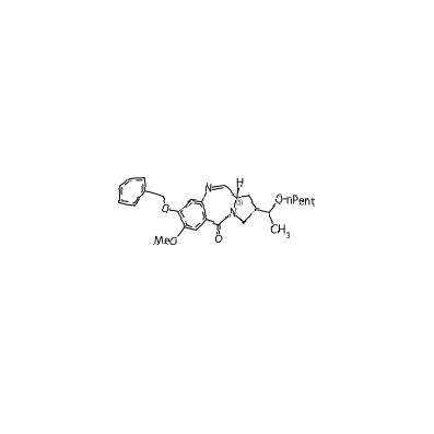 CCCCCOC(C)C1C[C@H]2C=Nc3cc(OCc4ccccc4)c(OC)cc3C(=O)N2C1